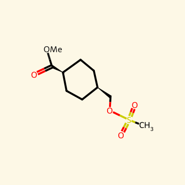 COC(=O)[C@H]1CC[C@@H](COS(C)(=O)=O)CC1